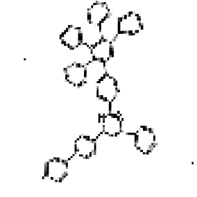 c1ccc(-c2ccc(-c3cc(-c4ccccc4)nc(-c4ccc(-c5cc(-c6ccccc6)c(-c6ccccc6)c(-c6ccccc6)c5-c5ccccc5)cc4)n3)cc2)cc1